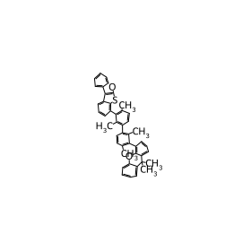 Cc1ccc(-c2ccc(C)c(-c3cccc4c3sc3oc5ccccc5c34)c2C)c(C)c1-c1cccc2c1Oc1ccccc1C2(C)C